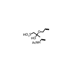 C=CCOC(C)(O)CS(=O)(=O)O.C=CNC(C)=O